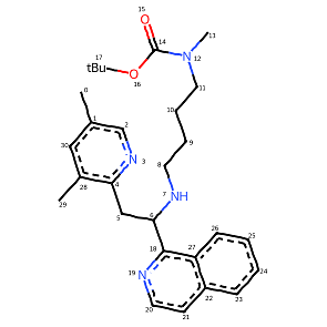 Cc1cnc(CC(NCCCCN(C)C(=O)OC(C)(C)C)c2nccc3ccccc23)c(C)c1